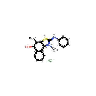 Cc1c(O)c2ccccc2c2c1s/c(=N/c1ccccc1)n2C.Cl